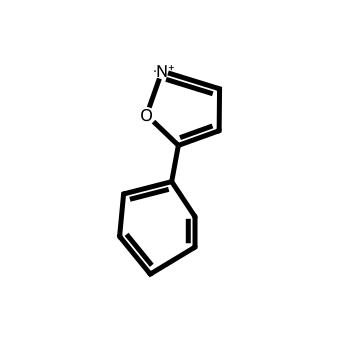 C1=[N+]OC(c2ccccc2)=C1